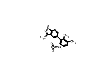 Cc1cccc(-c2cnc3[nH]nc(C)c3c2)c1C.N[SH](=O)=O